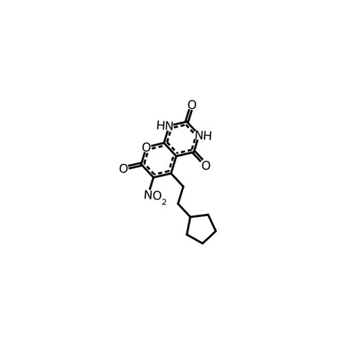 O=c1[nH]c(=O)c2c(CCC3CCCC3)c([N+](=O)[O-])c(=O)oc2[nH]1